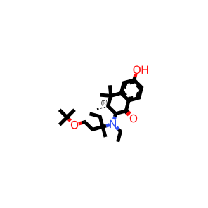 CCN(C1C(=O)c2ccc(O)cc2C(C)(C)[C@H]1C)C(C)(CC)CCOC(C)(C)C